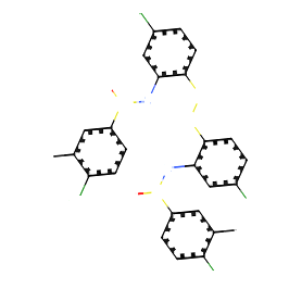 [O-][S+](Nc1cc(Cl)ccc1SSc1ccc(Cl)cc1N[S+]([O-])c1ccc(Cl)c(C(F)(F)F)c1)c1ccc(Cl)c(C(F)(F)F)c1